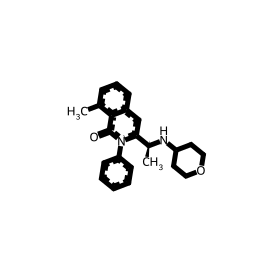 Cc1cccc2cc([C@H](C)NC3CCOCC3)n(-c3ccccc3)c(=O)c12